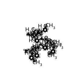 COc1cccc(C(=O)N[C@@H](CC(C)C)C(=O)NC(Cc2ccccc2C2CC2NC(=O)C(=O)C(Cc2ccccc2C2CC2NC(=O)C(=O)C(Cc2ccccc2)NC(=O)[C@H](CC2CC2)NC(=O)c2cccc(OC)c2)NC(=O)[C@@H](NC(=O)c2cccc(OC)c2)C(C)C)C(=O)C(=O)NC2CC2)c1